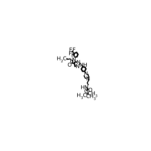 C=CCn1c(=O)c2cnc(Nc3ccc(N4CCN(CCCNC(=O)OC(C)(C)C)CC4)cc3)nc2n1-c1cccc(C(F)(F)F)n1